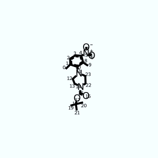 Cc1ccc([N+](=O)[O-])c(C)c1N1CCN(C(=O)OC(C)(C)C)CC1